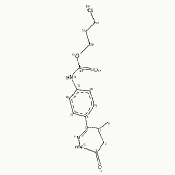 CC1CC(=O)NN=C1c1ccc(NC(=O)OCCCCl)cc1